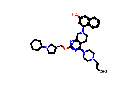 O=CC=CN1CCN(c2nc(OC[C@H]3CCN(C4CCCCC4)C3)nc3c2CCN(c2cc(O)cc4ccccc24)C3)CC1